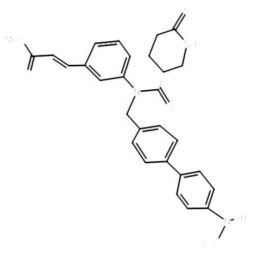 COC(=O)/C=C/c1cccc(N(Cc2ccc(-c3ccc(N(C)C)cc3)cc2)C(=O)[C@@H]2CCC(=O)NC2)c1